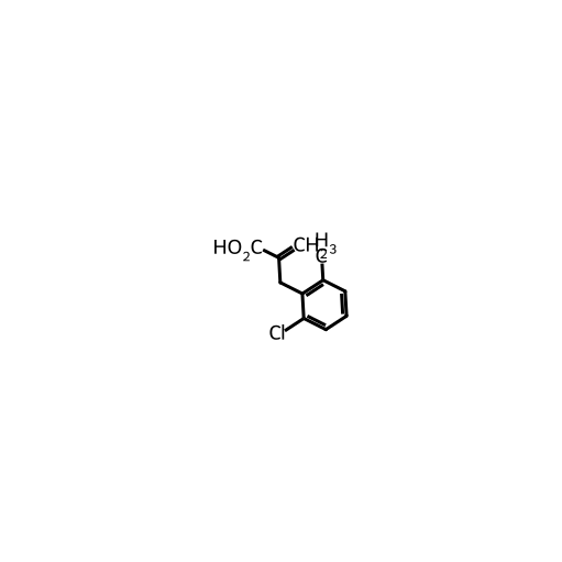 C=C(Cc1c(C)cccc1Cl)C(=O)O